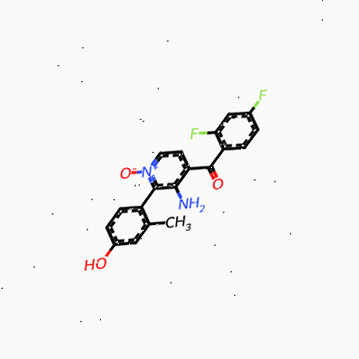 Cc1cc(O)ccc1-c1c(N)c(C(=O)c2ccc(F)cc2F)cc[n+]1[O-]